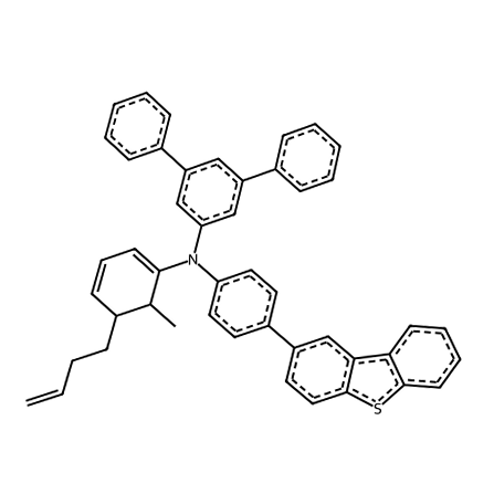 C=CCCC1C=CC=C(N(c2ccc(-c3ccc4sc5ccccc5c4c3)cc2)c2cc(-c3ccccc3)cc(-c3ccccc3)c2)C1C